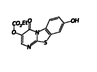 CCOC(=O)Oc1cnc2sc3cc(O)ccc3n2c1=O